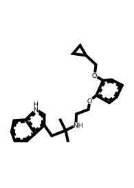 CC(C)(Cc1c[nH]c2ccccc12)NCCOc1ccccc1OCC1CC1